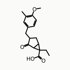 CCC1(C(=O)O)C2CC(Cc3ccc(OC)c(C)c3)C(=O)C21